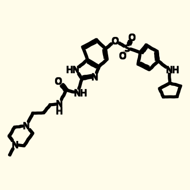 CN1CCN(CCCNC(=O)Nc2nc3cc(OS(=O)(=O)c4ccc(NC5CCCC5)cc4)ccc3[nH]2)CC1